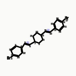 Brc1ccc(/C=C/C2CCC(/C=C/c3ccc(Br)cc3)CC2)cc1